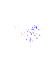 Cc1ccc(CC(=O)N=C(N)NC(CC2CCCCC2)C(=O)NC(C)c2cccc(-c3nnn[nH]3)c2)cc1C